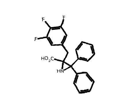 O=C(O)C1(Cc2cc(F)c(F)c(F)c2)NC1(c1ccccc1)c1ccccc1